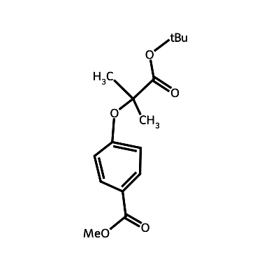 COC(=O)c1ccc(OC(C)(C)C(=O)OC(C)(C)C)cc1